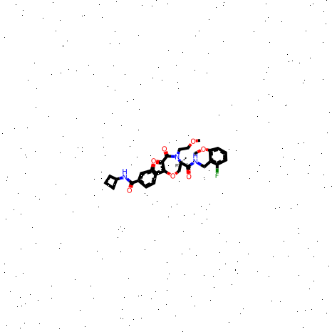 COCCN1C(=O)c2oc3cc(C(=O)NC4CCC4)ccc3c2OC[C@]1(C)C(=O)NCc1c(F)cccc1OC